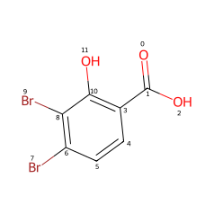 O=C(O)c1ccc(Br)c(Br)c1O